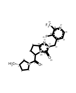 C[C@H]1CCN(C(=O)C2CCc3nn(Cc4ccnc(C(F)(F)F)c4F)c(=O)n32)C1